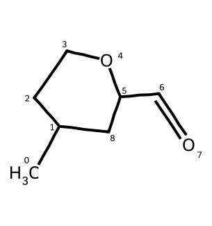 CC1CCOC(C=O)C1